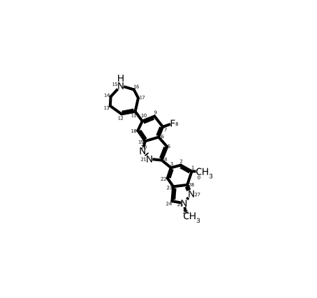 Cc1cc(-c2cc3c(F)cc(C4=CCCNCC4)cc3nn2)cc2cn(C)nc12